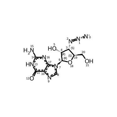 [N-]=[N+]=N[C@H]1[C@@H](O)[C@H](n2cnc3c(=O)[nH]c(N)nc32)O[C@@H]1CO